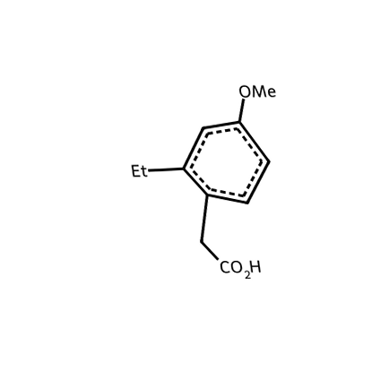 CCc1cc(OC)ccc1CC(=O)O